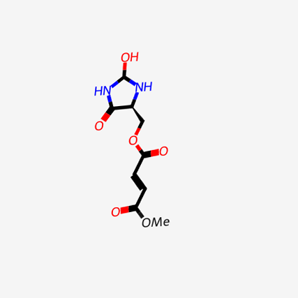 COC(=O)/C=C/C(=O)OC[C@@H]1NC(O)NC1=O